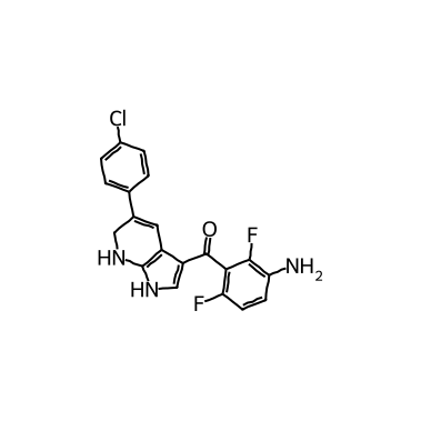 Nc1ccc(F)c(C(=O)c2c[nH]c3c2C=C(c2ccc(Cl)cc2)CN3)c1F